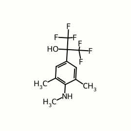 CNc1c(C)cc(C(O)(C(F)(F)F)C(F)(F)F)cc1C